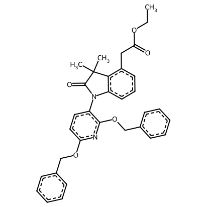 CCOC(=O)Cc1cccc2c1C(C)(C)C(=O)N2c1ccc(OCc2ccccc2)nc1OCc1ccccc1